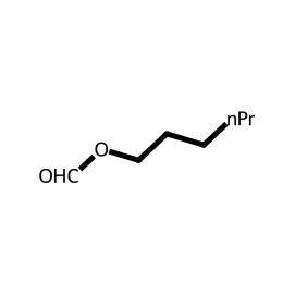 CCCCCCOC=O